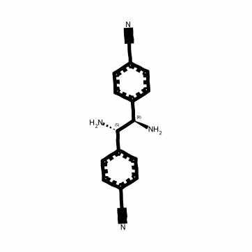 N#Cc1ccc([C@@H](N)[C@@H](N)c2ccc(C#N)cc2)cc1